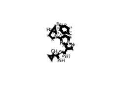 CC1(C(=N)SC(=N)c2cnn3ccc(N4CC[C@H]5C[C@]54c4cc(F)ccc4F)nc23)CC1